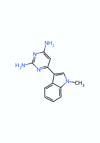 Cn1cc(-c2cc(N)nc(N)n2)c2ccccc21